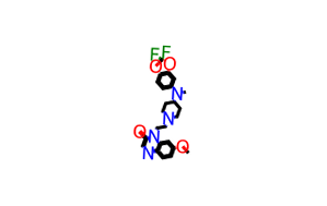 COc1ccc2ncc(=O)n(CCN3CCC(N(C)c4ccc5c(c4)OC(F)(F)O5)CC3)c2c1